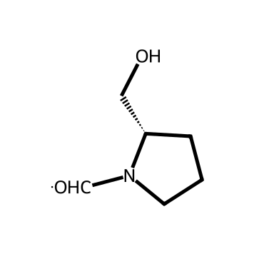 O=[C]N1CCC[C@H]1CO